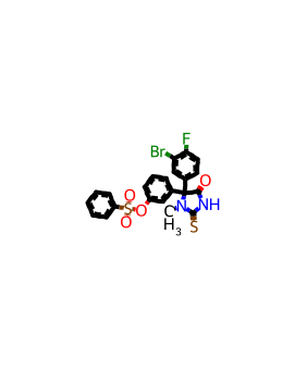 CN1C(=S)NC(=O)C1(c1cccc(OS(=O)(=O)c2ccccc2)c1)c1ccc(F)c(Br)c1